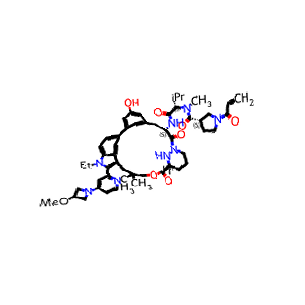 C=CC(=O)N1CC[C@H](C(=O)N(C)[C@H](C(=O)N[C@H]2Cc3cc(O)cc(c3)-c3ccc4c(c3)c(c(-c3cc(N5CC(OC)C5)ccn3)n4CC)CC(C)(C)COC(=O)[C@@H]3CCCN(N3)C2=O)C(C)C)C1